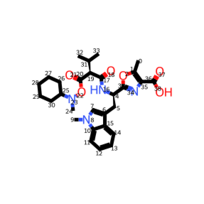 Cc1oc([C@@H](Cc2cn(C)c3ccccc23)NC(=O)[C@@H](C(=O)ON(C)C2CCCCC2)C(C)C)nc1C(=O)O